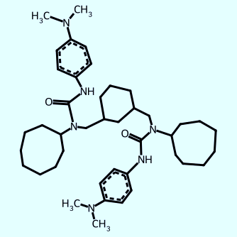 CN(C)c1ccc(NC(=O)N(CC2CCCC(CN(C(=O)Nc3ccc(N(C)C)cc3)C3CCCCCCC3)C2)C2CCCCCCC2)cc1